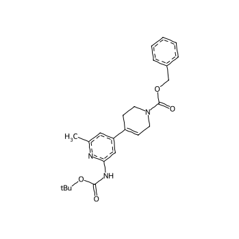 Cc1cc(C2=CCN(C(=O)OCc3ccccc3)CC2)cc(NC(=O)OC(C)(C)C)n1